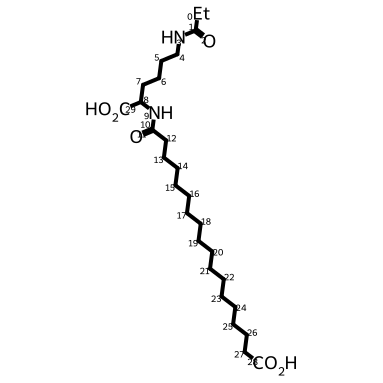 CCC(=O)NCCCCC(NC(=O)CCCCCCCCCCCCCCCCC(=O)O)C(=O)O